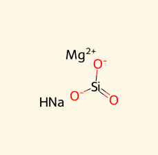 O=[Si]([O-])[O-].[Mg+2].[NaH]